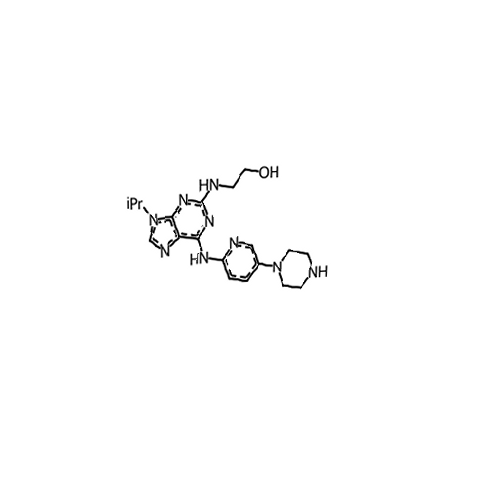 CC(C)n1cnc2c(Nc3ccc(N4CCNCC4)cn3)nc(NCCO)nc21